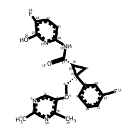 Cc1ncc(OC[C@@]2(c3cccc(F)c3)C[C@H]2C(=O)Nc2ccc(F)c(O)n2)c(C)n1